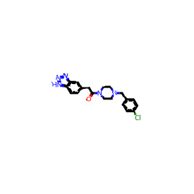 O=C(Cc1ccc2[nH]nnc2c1)N1CCN(Cc2ccc(Cl)cc2)CC1